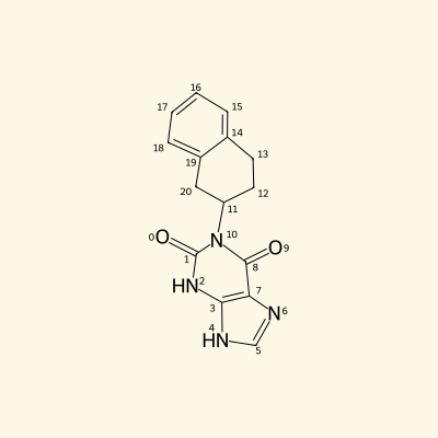 O=c1[nH]c2[nH]cnc2c(=O)n1C1CCc2ccccc2C1